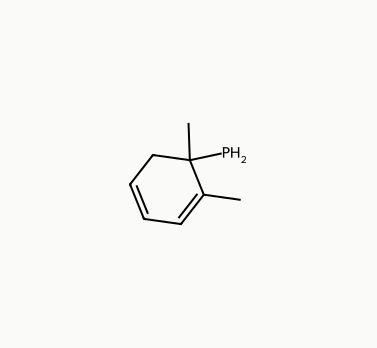 CC1=CC=CCC1(C)P